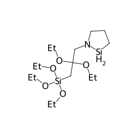 CCOC(CN1CCC[SiH2]1)(C[Si](OCC)(OCC)OCC)OCC